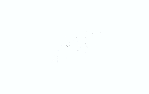 CS(=O)(=O)N[C@H]1CCCN(C(=O)[C@@H]2C[C@H]2c2ccccc2-c2cccc(F)c2F)CC1